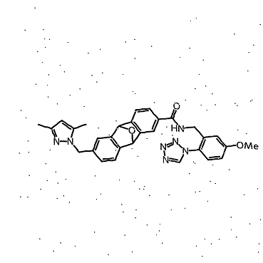 COc1ccc(-n2cnnn2)c(CNC(=O)c2ccc3c(c2)C2OC3c3cc(Cn4nc(C)cc4C)ccc32)c1